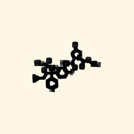 CC(C)(C)OC(=O)N1CC(=O)C[C@@H]1C(=O)Nc1cc(C(CCC2CC2)(NS(=O)(=O)C(C)(C)C)c2ccncc2)ccc1F